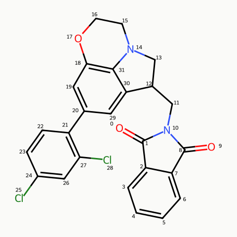 O=C1c2ccccc2C(=O)N1CC1CN2CCOc3cc(-c4ccc(Cl)cc4Cl)cc1c32